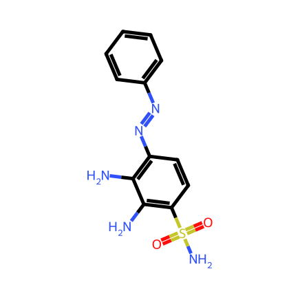 Nc1c(N=Nc2ccccc2)ccc(S(N)(=O)=O)c1N